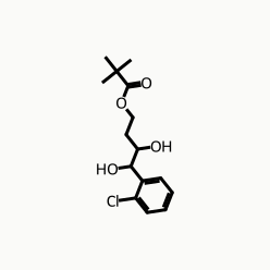 CC(C)(C)C(=O)OCCC(O)C(O)c1ccccc1Cl